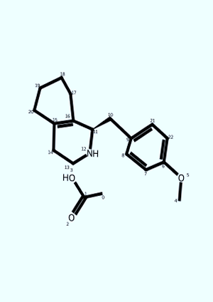 CC(=O)O.COc1ccc(C[C@H]2NCCC3=C2CCCC3)cc1